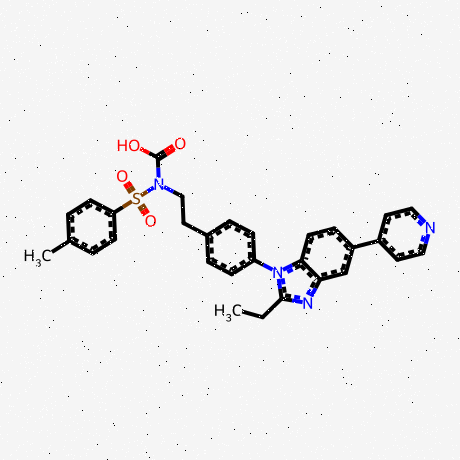 CCc1nc2cc(-c3ccncc3)ccc2n1-c1ccc(CCN(C(=O)O)S(=O)(=O)c2ccc(C)cc2)cc1